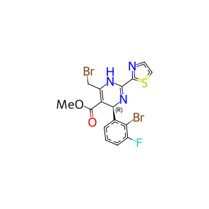 COC(=O)C1=C(CBr)NC(c2nccs2)=N[C@H]1c1cccc(F)c1Br